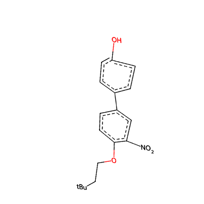 CC(C)(C)CCOc1ccc(-c2ccc(O)cc2)cc1[N+](=O)[O-]